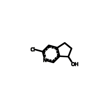 OC1CCc2cc(Cl)ncc21